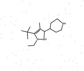 CCN1NC(C2CCNCC2)C(C)=C1C(C)(C)C